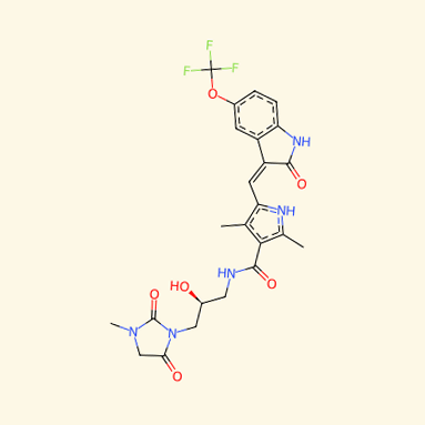 Cc1[nH]c(/C=C2\C(=O)Nc3ccc(OC(F)(F)F)cc32)c(C)c1C(=O)NC[C@H](O)CN1C(=O)CN(C)C1=O